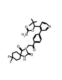 CC(C)(C)C(OC(N)=O)c1ccncc1-c1ccc(C(=O)CN2C(=O)NC3(CCC(F)(F)CC3)C2=O)cc1